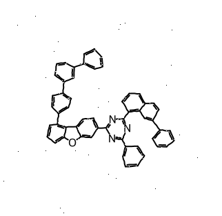 c1ccc(-c2cccc(-c3ccc(-c4cccc5oc6cc(-c7nc(-c8ccccc8)nc(-c8cccc9ccc(-c%10ccccc%10)cc89)n7)ccc6c45)cc3)c2)cc1